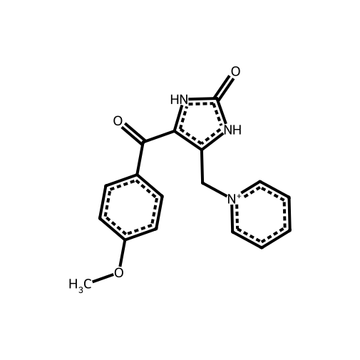 COc1ccc(C(=O)c2[nH]c(=O)[nH]c2C[n+]2ccccc2)cc1